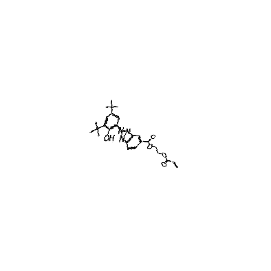 C=CC(=O)OCCOC(=O)c1ccc2c(c1)n1n(-c3cc(C(C)(C)C)cc(C(C)(C)C)c3O)n21